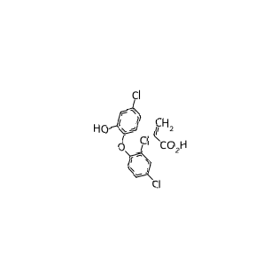 C=CC(=O)O.Oc1cc(Cl)ccc1Oc1ccc(Cl)cc1Cl